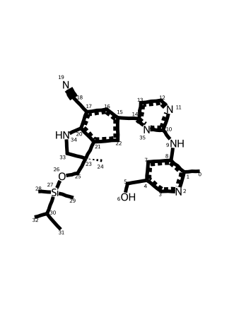 Cc1ncc(CO)cc1Nc1nccc(-c2cc(C#N)c3c(c2)[C@@](C)(CO[Si](C)(C)C(C)C)CN3)n1